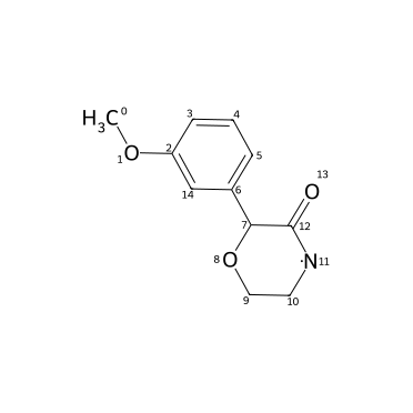 COc1cccc(C2OCC[N]C2=O)c1